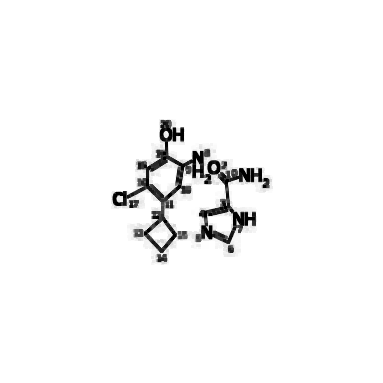 NC(=O)c1cnc[nH]1.Nc1cc(C2CCC2)c(Cl)cc1O